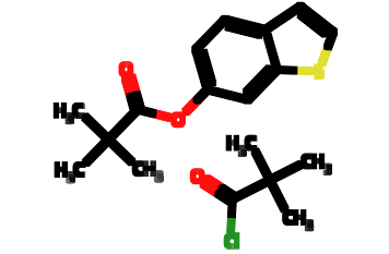 CC(C)(C)C(=O)Cl.CC(C)(C)C(=O)Oc1ccc2ccsc2c1